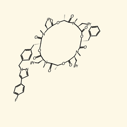 CC(C)C[C@H]1C(=O)O[C@H](Cc2ccc(Cn3cc(-c4ccc(F)cc4)cn3)cc2)C(=O)N(C)[C@@H](CC(C)C)C(=O)O[C@H](C)C(=O)N(C)[C@@H](CC(C)C)C(=O)O[C@H](Cc2ccccc2)C(=O)N(C)[C@@H](CC(C)C)C(=O)O[C@H](C)C(=O)N1C